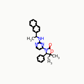 CC(Nc1nccc(N2C(=O)OC(C)(C)C2c2ccccc2)n1)c1ccc2ccccc2c1